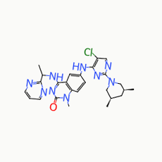 CC(Nc1nc(=O)n(C)c2ccc(Nc3nc(N4C[C@H](C)C[C@H](C)C4)ncc3Cl)cc12)c1ncccn1